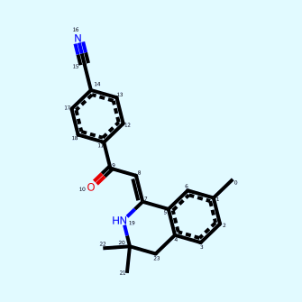 Cc1ccc2c(c1)C(=CC(=O)c1ccc(C#N)cc1)NC(C)(C)C2